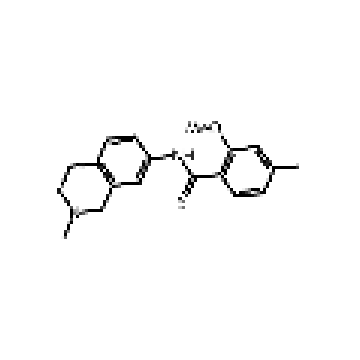 COc1cc(C)ccc1C(=S)Nc1ccc2c(c1)CN(C)CC2